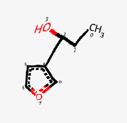 CCC(O)c1ccoc1